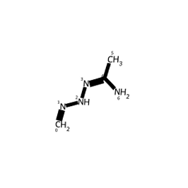 C=NN/N=C(/C)N